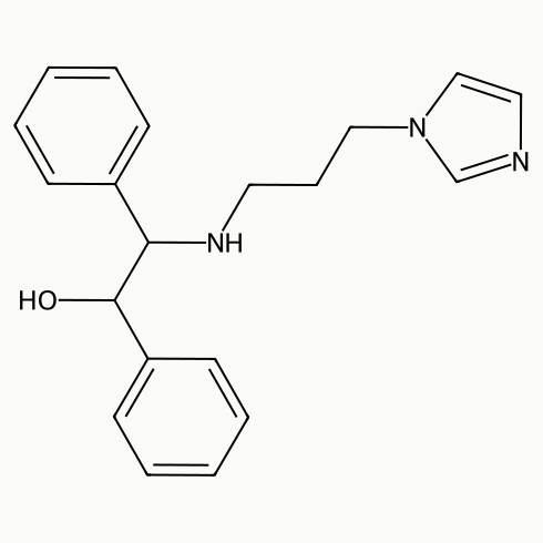 OC(c1ccccc1)C(NCCCn1ccnc1)c1ccccc1